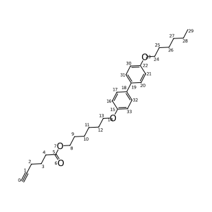 C#CCCCC(=O)OCCCCCCOc1ccc(-c2ccc(OCCCCCC)cc2)cc1